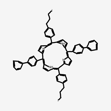 ICCCc1ccc(-c2c3nc(c(-c4ccc(-c5ccccc5)cc4)c4ccc([nH]4)c(-c4ccc(CCCI)cc4)c4nc(c(-c5ccc(-c6ccccc6)cc5)c5ccc2[nH]5)C=C4)C=C3)cc1